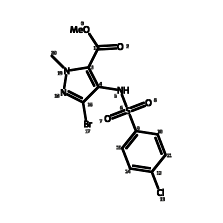 COC(=O)c1c(NS(=O)(=O)c2ccc(Cl)cc2)c(Br)nn1C